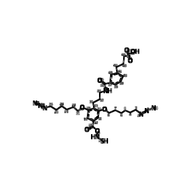 [N-]=[N+]=NCCCCCCOc1cc(C(=O)ONS)cc(OCCCCCCN=[N+]=[N-])c1CCCNC(=O)c1cccc(CCCS(=O)(=O)O)c1